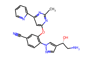 Cc1nc(Oc2cc(C#N)ccc2-n2cc([C@H](O)CN)cn2)cc(-c2ccccn2)n1